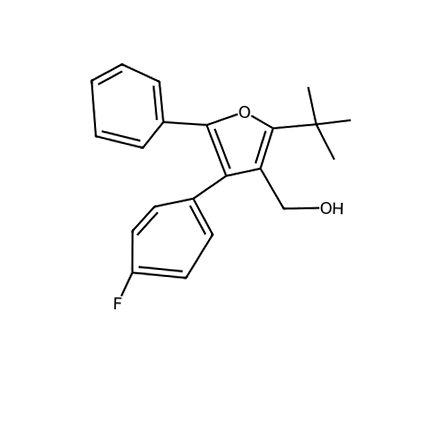 CC(C)(C)c1oc(-c2ccccc2)c(-c2ccc(F)cc2)c1CO